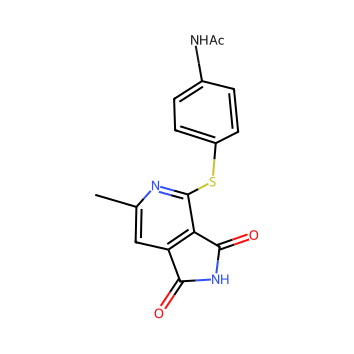 CC(=O)Nc1ccc(Sc2nc(C)cc3c2C(=O)NC3=O)cc1